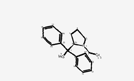 CCN1CCC[C@@H]1C(O)(c1ccccc1)c1ccccc1